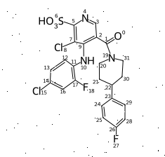 O=C(c1cnc(S(=O)(=O)O)c(Cl)c1Nc1ccc(Cl)cc1F)N1CCC(c2ccc(F)cc2)CC1